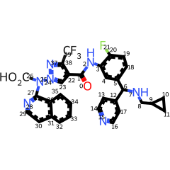 O=C(Nc1cc(C(NCC2CC2)c2ccncc2)ccc1F)c1cn(N(C(=O)O)c2nccc3ccccc23)nc1C(F)(F)F